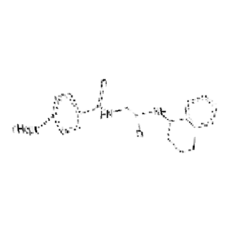 CCCCCCCc1ccc(C(=O)NCC(=O)NC2CCCc3ccccc32)cc1